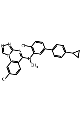 CN(c1cc(-c2ccc(C3CC3)cc2)ccc1Cl)c1nc2nncn2c2cc(Cl)ccc12